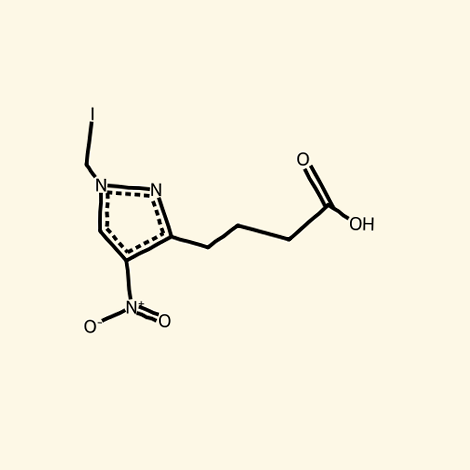 O=C(O)CCCc1nn(CI)cc1[N+](=O)[O-]